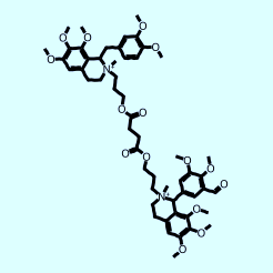 COc1ccc(CC2c3c(cc(OC)c(OC)c3OC)CC[N+]2(C)CCCOC(=O)CCC(=O)OCCC[N+]2(C)CCc3cc(OC)c(OC)c(OC)c3C2c2cc(C=O)c(OC)c(OC)c2)cc1OC